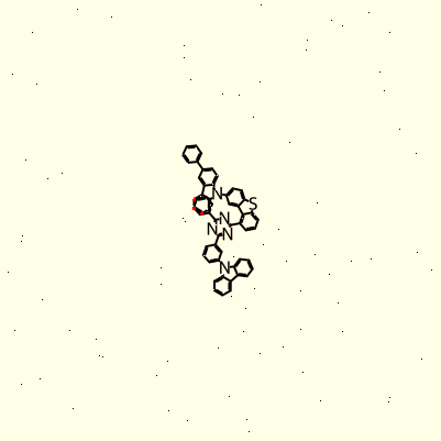 c1ccc(-c2ccc3c(c2)c2ccccc2n3-c2ccc3sc4cccc(-c5nc(-c6ccccc6)nc(-c6cccc(-n7c8ccccc8c8ccccc87)c6)n5)c4c3c2)cc1